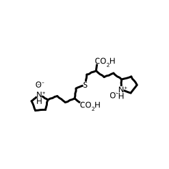 O=C(O)C(CCC1CCC[NH+]1[O-])CSCC(CCC1CCC[NH+]1[O-])C(=O)O